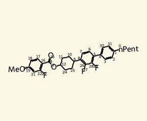 CCCCCc1ccc(-c2ccc(C3CCC(OC(=O)c4ccc(OC)cc4F)CC3)c(F)c2F)cc1